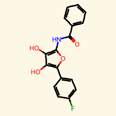 O=C(Nc1oc(-c2ccc(F)cc2)c(O)c1O)c1ccccc1